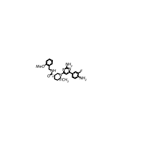 COc1ccccc1CNC(=O)[C@H]1CC[C@@H](C)N(c2cc(-c3ccc(N)c(F)c3)nc(N)n2)C1